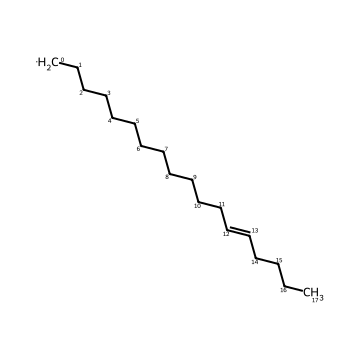 [CH2]CCCCCCCCCCCC=CCCCC